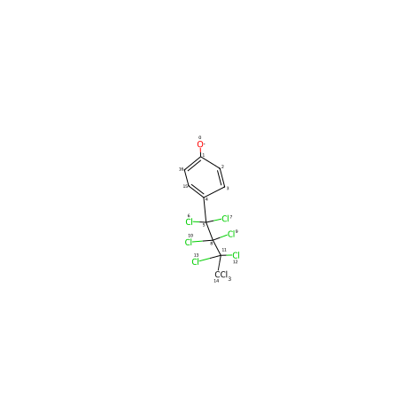 [O]c1ccc(C(Cl)(Cl)C(Cl)(Cl)C(Cl)(Cl)C(Cl)(Cl)Cl)cc1